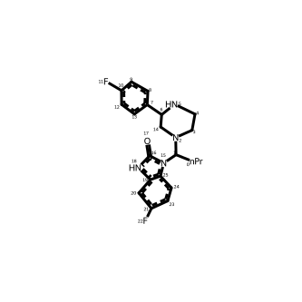 CCCC(N1CCNC(c2ccc(F)cc2)C1)n1c(=O)[nH]c2cc(F)ccc21